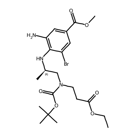 CCOC(=O)CCN(C[C@@H](C)Nc1c(N)cc(C(=O)OC)cc1Br)C(=O)OC(C)(C)C